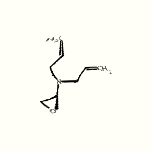 C=CCN(CC=C)C1CO1